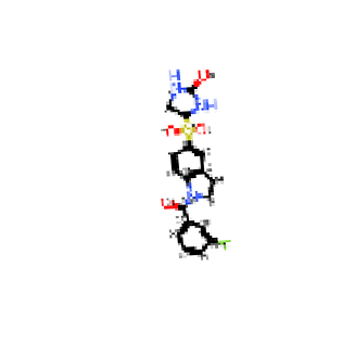 O=C1NCC(S(=O)(=O)c2ccc3c(c2)CCN3C(=O)c2cccc(F)c2)N1